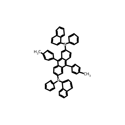 Cc1ccc(-c2c3ccc(N(c4ccccc4)c4cccc5ccccc45)cc3c(-c3ccc(C)cc3)c3ccc(N(c4ccccc4)c4cccc5ccccc45)cc23)cc1